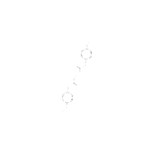 COc1ccc(CC(=O)COC(=O)Cc2ccc(Br)cc2)cc1